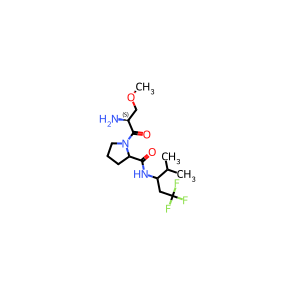 COC[C@H](N)C(=O)N1CCCC1C(=O)NC(CC(F)(F)F)C(C)C